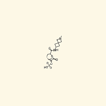 CN1CC2(CC(NC(=O)C3CCC4CN3C(=O)N4OS(=O)(=O)O)C2)C1